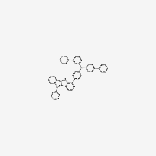 c1ccc(-c2ccc(N(c3ccc(-c4cccc5c4sc4c6ccccc6n(-c6ccccc6)c54)cc3)c3cccc(-c4ccccc4)c3)cc2)cc1